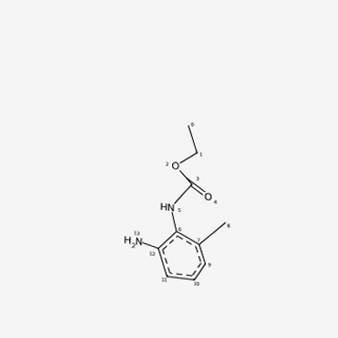 CCOC(=O)Nc1c(C)cccc1N